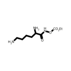 CCOC(=O)ONC(=O)C(N)CCCCN